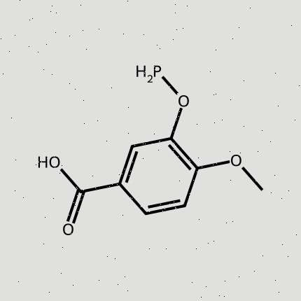 COc1ccc(C(=O)O)cc1OP